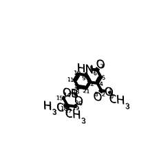 COC(=O)c1cc(=O)[nH]c2ccc(B3OCC(C)(C)CO3)cc12